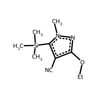 CCOc1nn(C)c([Si](C)(C)C)c1C#N